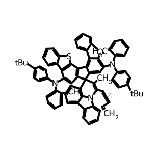 C=C/C=C\C1=C(C)C2(c3cc(N(c4ccc(C(C)(C)C)cc4)c4ccccc4C)c4c(sc5ccccc54)c3-c3c2cc(N(c2ccc(C(C)(C)C)cc2)c2ccccc2C)c2oc4ccccc4c32)c2cccc3c4ccccc4n1c23